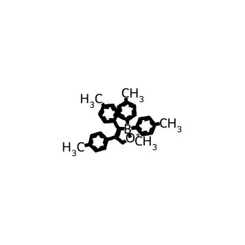 Cc1ccc(C2=C(c3ccc(C)cc3)[B-](c3ccc(C)cc3)(c3ccc(C)cc3)[O+](C)C2)cc1